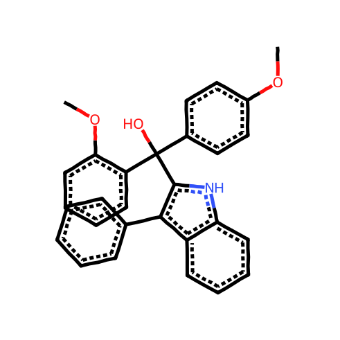 COc1ccc(C(O)(c2ccccc2OC)c2[nH]c3ccccc3c2-c2ccccc2)cc1